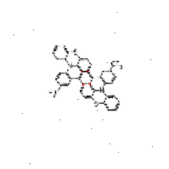 FC(F)(F)c1ccc(N2c3ccccc3Sc3ccccc32)c(-c2ccc(-c3cc(C(F)(F)F)ccc3N3c4ccccc4Sc4ccccc43)cc2)c1